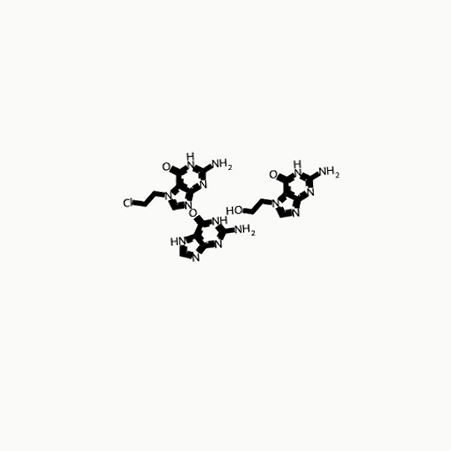 Nc1nc2nc[nH]c2c(=O)[nH]1.Nc1nc2ncn(CCCl)c2c(=O)[nH]1.Nc1nc2ncn(CCO)c2c(=O)[nH]1